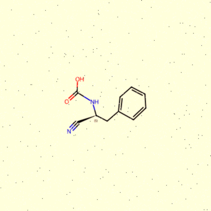 N#C[C@H](Cc1ccccc1)NC(=O)O